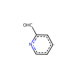 O=Cc1c[c]ccn1